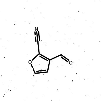 N#Cc1occc1C=O